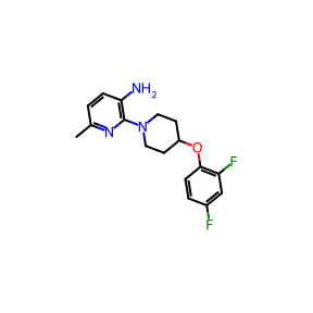 Cc1ccc(N)c(N2CCC(Oc3ccc(F)cc3F)CC2)n1